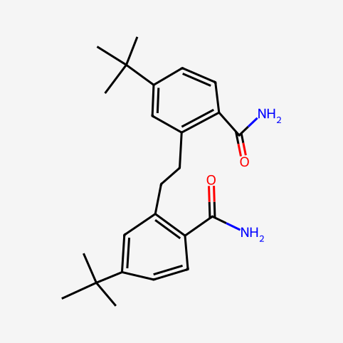 CC(C)(C)c1ccc(C(N)=O)c(CCc2cc(C(C)(C)C)ccc2C(N)=O)c1